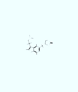 [2H]c1[nH]c2c([2H])c([2H])c(C([2H])([2H])[C@H]3COC(=O)N3)c([2H])c2c1C([2H])([2H])CN(C)C